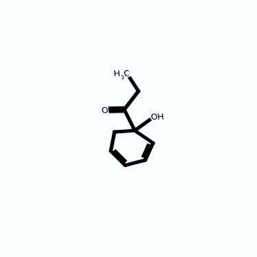 CCC(=O)C1(O)C=CC=CC1